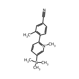 Cc1cc(C#N)ccc1-c1ccc([Si](C)(C)C)c[n+]1C